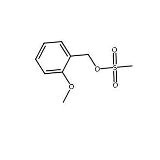 COc1ccccc1COS(C)(=O)=O